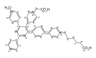 C[n+]1ccc(-c2nc(-c3ccncc3)nc(-c3ccc(-c4cc[n+](CCCCCC(=O)O)cc4)cc3)c2-c2cc[n+](CC(=O)O)cc2)cc1